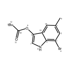 Cc1cc(Br)c2[nH]cc(OC(=O)C(C)(C)C)c2c1